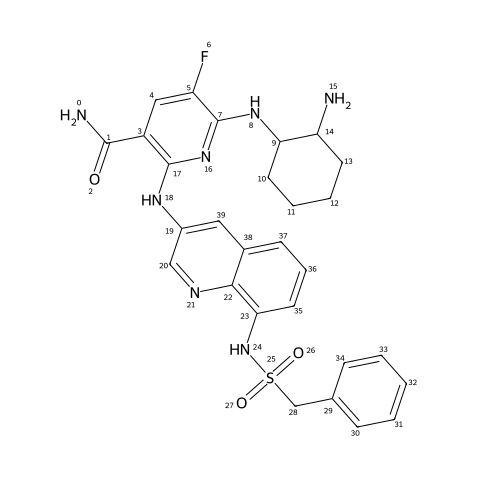 NC(=O)c1cc(F)c(NC2CCCCC2N)nc1Nc1cnc2c(NS(=O)(=O)Cc3ccccc3)cccc2c1